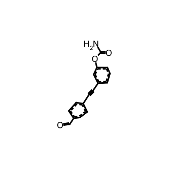 NC(=O)Oc1cccc(C#Cc2ccc(C=O)cc2)c1